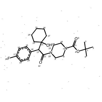 CC(C)(C)OC(=O)N1CCN(C(=O)C(c2ccc(F)cc2)C2(O)CCCCC2)CC1